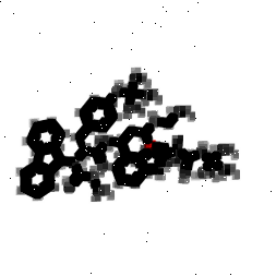 CCOC(CC(NC(=O)[C@H](Cc1ccc(OC(C)(C)C)cc1)N(C(=O)OC)C1c2ccccc2-c2ccccc21)c1cccc2sc(NC(=O)OC(C)(C)C)nc12)OCC